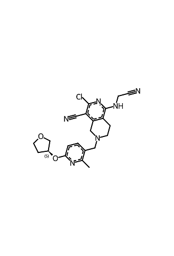 Cc1nc(O[C@H]2CCOC2)ccc1CN1CCc2c(NCC#N)nc(Cl)c(C#N)c2C1